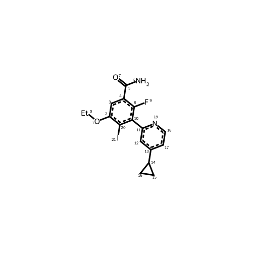 CCOc1cc(C(N)=O)c(F)c(-c2cc(C3CC3)ccn2)c1I